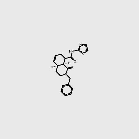 O=C(Nc1nccs1)C1CC=C[C@@H]2CCN(Cc3ccccc3)C(=O)[C@H]12